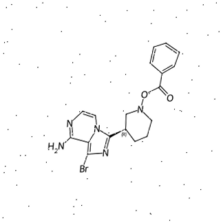 Nc1nccn2c([C@@H]3CCCN(OC(=O)c4ccccc4)C3)nc(Br)c12